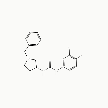 O=C(Nc1ccc(F)c(C(F)(F)F)c1)N[C@H]1CCN(Cc2ccccc2)C1